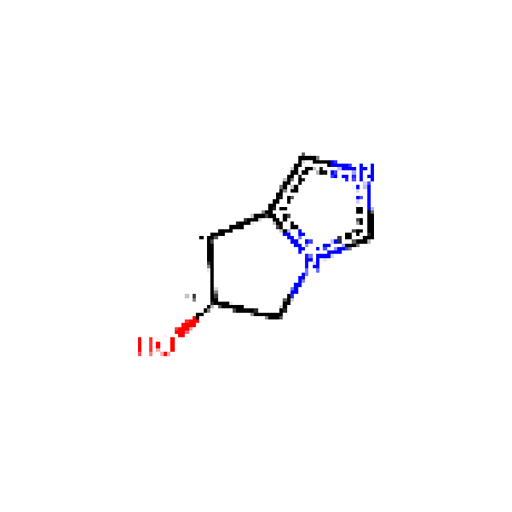 O[C@H]1[CH]c2cncn2C1